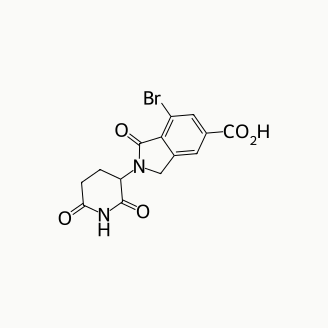 O=C1CCC(N2Cc3cc(C(=O)O)cc(Br)c3C2=O)C(=O)N1